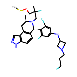 C[C@@H]1Cc2c(ccc3[nH]ncc23)[C@@H](c2c(F)cc(NC3CN(CCCF)C3)cc2F)N1CC(C)(F)COSC(C)(C)C